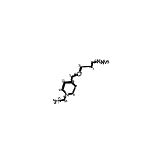 CNCCCOCC1CCN(CC(C)C)CC1